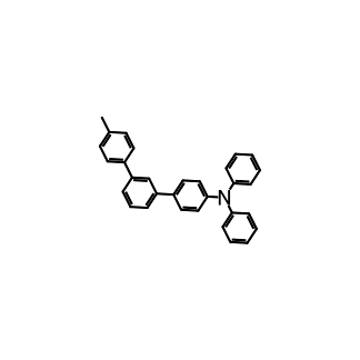 Cc1ccc(-c2cccc(-c3ccc(N(c4ccccc4)c4ccccc4)cc3)c2)cc1